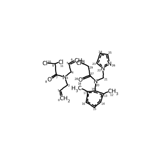 C=CCN(CC=C)C(=O)C(Cl)Cl.Cc1cccc(C)c1N(Cn1cccn1)C(=O)CCl